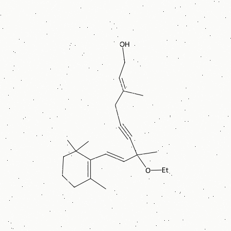 CCOC(C)(C#CC/C(C)=C/CO)/C=C/C1=C(C)CCCC1(C)C